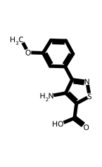 COc1cccc(-c2nsc(C(=O)O)c2N)c1